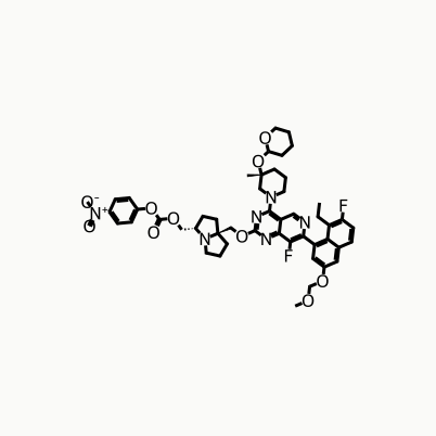 CCc1c(F)ccc2cc(OCOC)cc(-c3ncc4c(N5CCC[C@@](C)(OC6CCCCO6)C5)nc(OC[C@@]56CCCN5[C@H](COC(=O)Oc5ccc([N+](=O)[O-])cc5)CC6)nc4c3F)c12